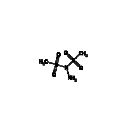 CS(=O)(=O)N(N)S(C)(=O)=O